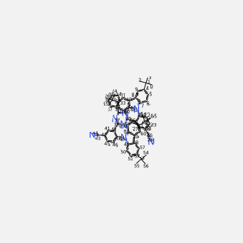 CC(C)(C)c1ccc2c(c1)c1cc(C(C)(C)C)ccc1n2-c1ccc(C#N)cc1-c1nc(-c2ccccc2)nc(-c2cc(C#N)ccc2-n2c3ccc(C(C)(C)C)cc3c3cc(C(C)(C)C)ccc32)n1